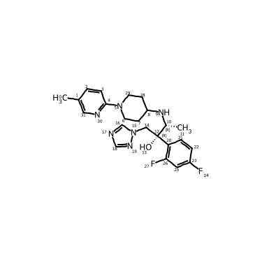 Cc1ccc(N2CCC(N[C@H](C)[C@](O)(Cn3cncn3)c3ccc(F)cc3F)CC2)nc1